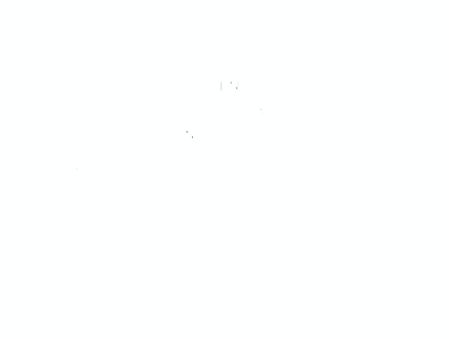 C=C(N)C(CNC1CCOCC1)c1ccc(Cl)cc1